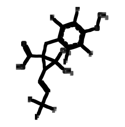 COc1c(F)c(F)c(CC2(C(=O)O)C(C=CC(F)(F)F)C2(C)C)c(F)c1F